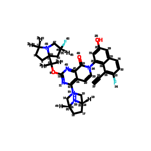 [2H]C1([2H])CC[C@@]2(C([2H])([2H])Oc3nc(N4C[C@H]5CC[C@@H](C4)N5)c4ccn(-c5cc(O)cc6ccc(F)c(C#C)c56)c(=O)c4n3)C[C@@]([2H])(F)CN12